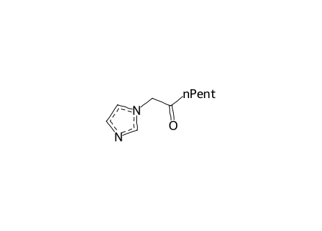 CCCCCC(=O)Cn1ccnc1